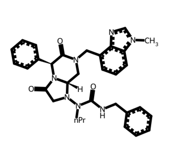 CCCN(C(=O)NCc1ccccc1)N1CC(=O)N2[C@@H](c3ccccc3)C(=O)N(Cc3cccc4c3ncn4C)C[C@@H]21